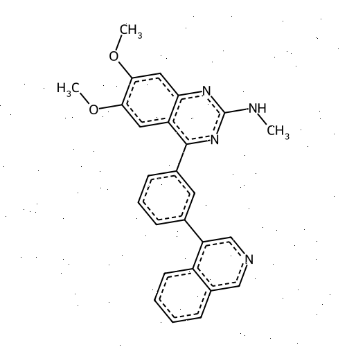 CNc1nc(-c2cccc(-c3cncc4ccccc34)c2)c2cc(OC)c(OC)cc2n1